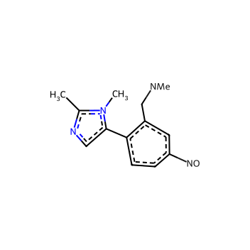 CNCc1cc(N=O)ccc1-c1cnc(C)n1C